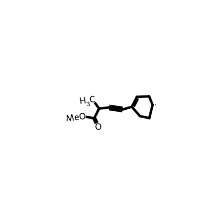 COC(=O)C(C)C#CC1=CC[CH]CC1